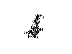 C[C@H](NC(=O)CN)C(=O)NCC(=O)N[C@@H](C)C(=O)NCC(=O)N[C@@H](C)C(=O)N[C@@H](CO)C(=O)N[C@@H](Cc1ccc(O)cc1)C(=O)O